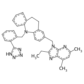 CCc1nc2c(C)cc(C)nc2n1Cc1ccc2c(c1)CCc1ccccc1N2Cc1ccccc1-c1nnn[nH]1